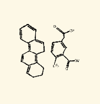 C1=c2ccc3c(c2CCC1)CC=c1ccccc1=3.Cc1ccc(C(=O)O)cc1C(=O)O